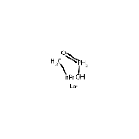 CCCC.O=[PH2]O.[La]